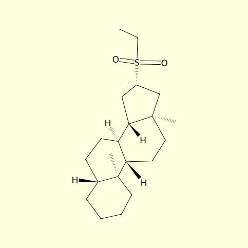 CCS(=O)(=O)[C@H]1C[C@H]2[C@@H]3CC[C@H]4CCCC[C@]4(C)[C@H]3CC[C@]2(C)C1